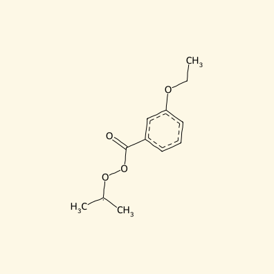 CCOc1cccc(C(=O)OO[C](C)C)c1